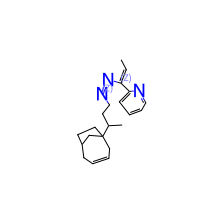 C/C=C(\N=N/CCC(C)C12CC=CCC(CC1)C2)c1ccccn1